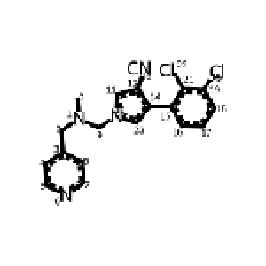 CN(Cc1ccncc1)Cn1cc(C#N)c(-c2cccc(Cl)c2Cl)c1